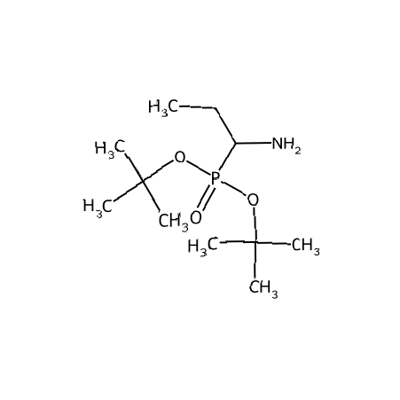 CCC(N)P(=O)(OC(C)(C)C)OC(C)(C)C